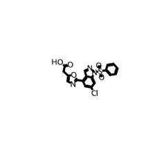 O=C(O)Cc1cnc(-c2cc(Cl)cc3c2cnn3S(=O)(=O)c2ccccc2)o1